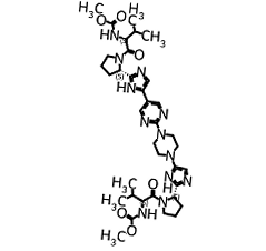 COC(=O)N[C@H](C(=O)N1CCC[C@H]1c1ncc(-c2cnc(N3CCN(c4cnc([C@@H]5CCCN5C(=O)[C@@H](NC(=O)OC)C(C)C)[nH]4)CC3)nc2)[nH]1)C(C)C